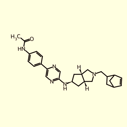 CC(=O)Nc1ccc(-c2cnc(N[C@H]3C[C@@H]4CN(CC5CC6C=CC5C6)C[C@@H]4C3)cn2)cc1